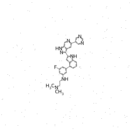 CN(C)CCNc1cc(F)cc(-c2cccc3[nH]c(-c4n[nH]c5cnc(-c6cncnc6)cc45)cc23)c1